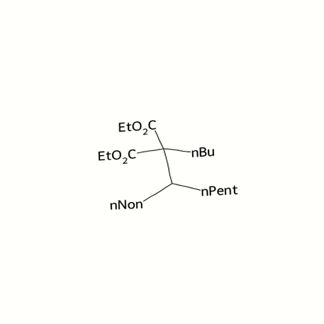 CCCCCCCCCC(CCCCC)C(CCCC)(C(=O)OCC)C(=O)OCC